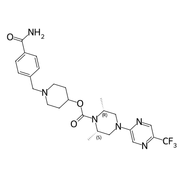 C[C@@H]1CN(c2cnc(C(F)(F)F)cn2)C[C@H](C)N1C(=O)OC1CCN(Cc2ccc(C(N)=O)cc2)CC1